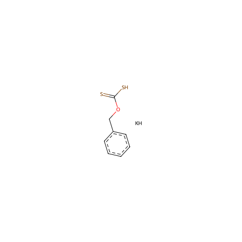 S=C(S)OCc1ccccc1.[KH]